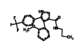 CCCNC(=O)c1c[nH]c(-c2ccc(C(F)(F)F)cc2)c1-c1ccccc1OC